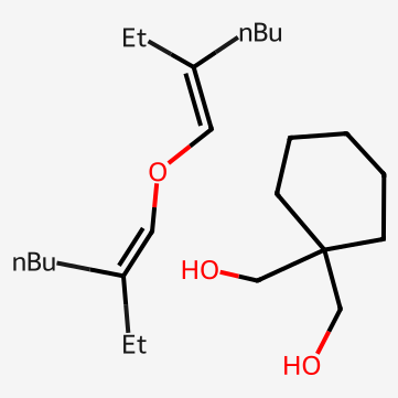 CCCCC(=COC=C(CC)CCCC)CC.OCC1(CO)CCCCC1